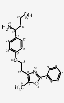 Cc1oc(-c2ccccc2)nc1CCOc1ccc(C(N)CCO)cc1